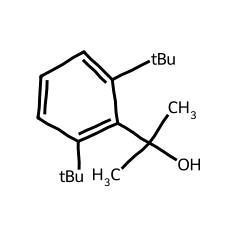 CC(C)(C)c1cccc(C(C)(C)C)c1C(C)(C)O